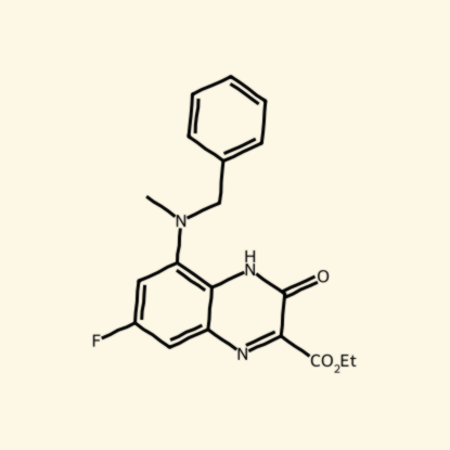 CCOC(=O)c1nc2cc(F)cc(N(C)Cc3ccccc3)c2[nH]c1=O